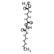 CCCCCCCC(=O)NOC(=O)CCCCC(=O)OC